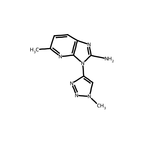 Cc1ccc2nc(N)n(-c3cn(C)nn3)c2n1